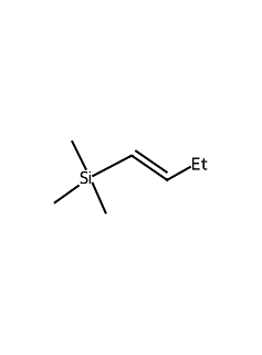 CCC=C[Si](C)(C)C